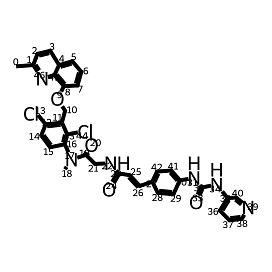 Cc1ccc2cccc(OCc3c(Cl)ccc(N(C)C(=O)CNC(=O)C=Cc4ccc(NC(=O)Nc5cccnc5)cc4)c3Cl)c2n1